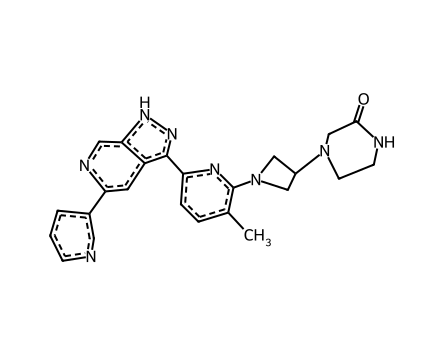 Cc1ccc(-c2n[nH]c3cnc(-c4cccnc4)cc23)nc1N1CC(N2CCNC(=O)C2)C1